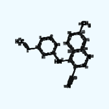 C=Cc1cccc(Nc2c(C#N)cnc3cc(C)ccc23)c1